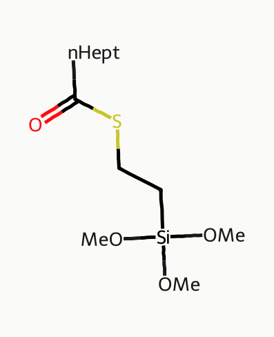 CCCCCCCC(=O)SCC[Si](OC)(OC)OC